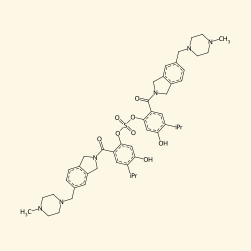 CC(C)c1cc(C(=O)N2Cc3ccc(CN4CCN(C)CC4)cc3C2)c(OS(=O)(=O)Oc2cc(O)c(C(C)C)cc2C(=O)N2Cc3ccc(CN4CCN(C)CC4)cc3C2)cc1O